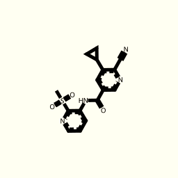 CS(=O)(=O)c1ncccc1NC(=O)c1cnc(C#N)c(C2CC2)c1